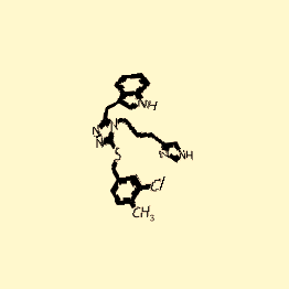 Cc1ccc(CSc2nnc(Cc3c[nH]c4ccccc34)n2CCCc2c[nH]cn2)cc1Cl